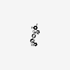 O=C(N1CCN(c2ccnc(-c3ccc[nH]3)n2)CC1)N1N=CC[C@H]1c1cc(F)cc(F)c1